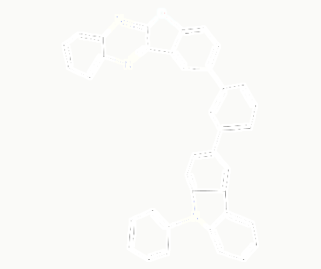 c1ccc(-n2c3ccccc3c3cc(-c4cccc(-c5ccc6oc7nc8ccccc8nc7c6c5)c4)ccc32)cc1